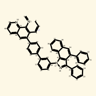 C=Nc1c(/C=C\C)c(-c2ccc(-c3cccc(-n4nc(-c5ccccc5)c5c(-c6ccccc6)cc6ccccc6c54)c3)cc2)cc2cccnc12